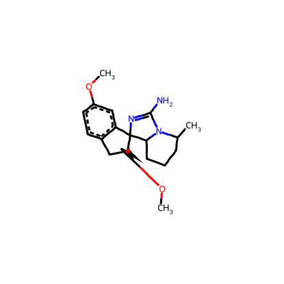 COc1ccc2c(c1)C1(N=C(N)N3C(C)CCCC31)C1(CCC(OC)CC1)C2